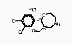 Cl.OC[C@H]1CNCCO[C@H]1c1ccc(Cl)c(Cl)c1